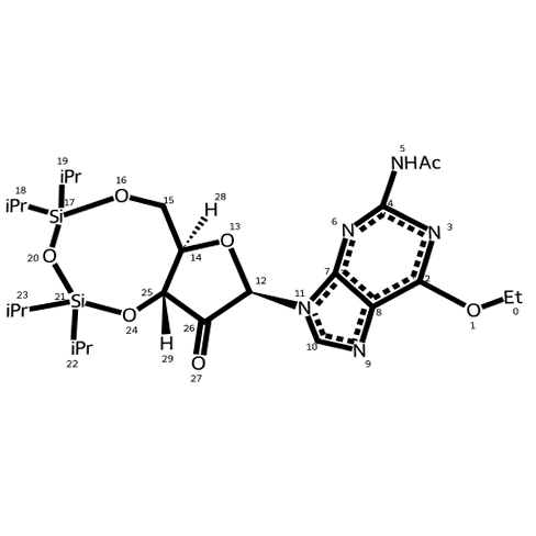 CCOc1nc(NC(C)=O)nc2c1ncn2[C@@H]1O[C@@H]2CO[Si](C(C)C)(C(C)C)O[Si](C(C)C)(C(C)C)O[C@H]2C1=O